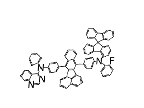 Fc1ccccc1N(c1ccc(-c2c3c(c(-c4ccc(N(c5ccccc5)c5ncnc6ccccc56)cc4)c4ccccc24)-c2cccc4cccc-3c24)cc1)c1cccc2c1-c1ccccc1C21c2ccccc2-c2ccccc21